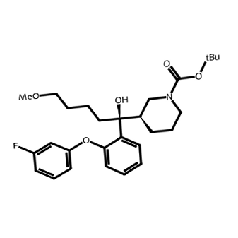 COCCCC[C@@](O)(c1ccccc1Oc1cccc(F)c1)[C@@H]1CCCN(C(=O)OC(C)(C)C)C1